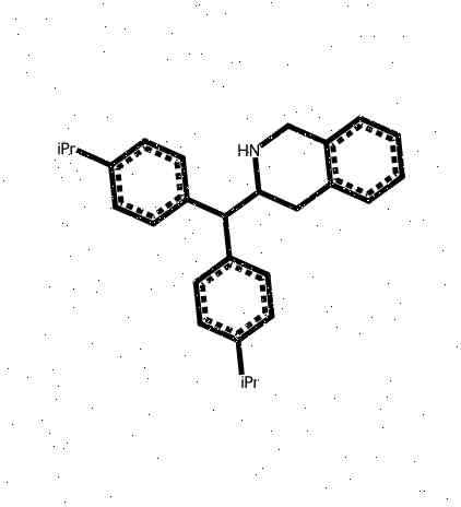 CC(C)c1ccc(C(c2ccc(C(C)C)cc2)C2Cc3ccccc3CN2)cc1